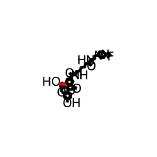 O=C(CCCCCNC(=O)c1ccc2c(c1)C(=O)OC21c2ccc(O)cc2Oc2cc(O)ccc21)NCCN1CCN(CF)CC1